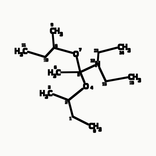 CCC(C)OC(C)(OC(C)CC)N(CC)CC